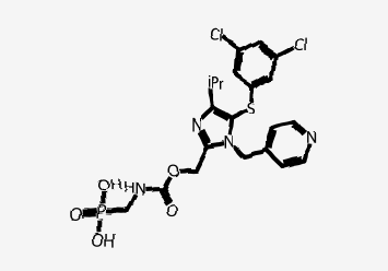 CC(C)c1nc(COC(=O)NCP(=O)(O)O)n(Cc2ccncc2)c1Sc1cc(Cl)cc(Cl)c1